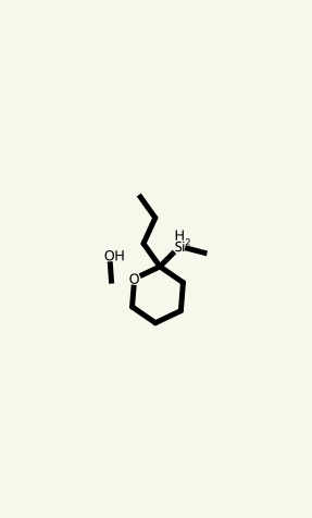 CCCC1([SiH2]C)CCCCO1.CO